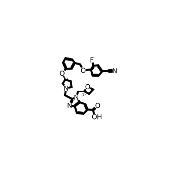 N#Cc1ccc(OCc2cccc(O[C@H]3CCN(Cc4nc5ccc(C(=O)O)cc5n4C[C@@H]4CCO4)C3)c2)c(F)c1